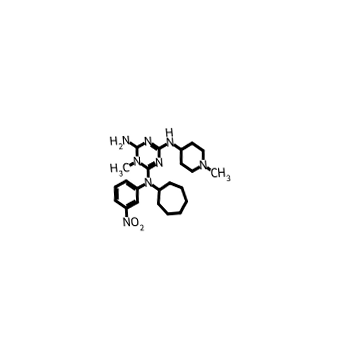 CN1CCC(NC2=NC(N)N(C)C(N(c3cccc([N+](=O)[O-])c3)C3CCCCCC3)=N2)CC1